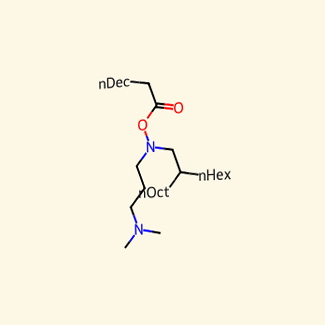 CCCCCCCCCCCC(=O)ON(CCCN(C)C)CC(CCCCCC)CCCCCCCC